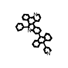 c1ccc(-c2nc3cc(-c4c5ccccc5c(-c5ccncc5)c5ccccc45)ccc3c3c4cccnc4c4ccccc4c23)cc1